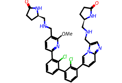 COc1nc(-c2cccc(-c3cccc(-c4ccc5ncc(CNC[C@H]6CCC(=O)N6)n5c4)c3Cl)c2Cl)ccc1CNC[C@H]1CCC(=O)N1